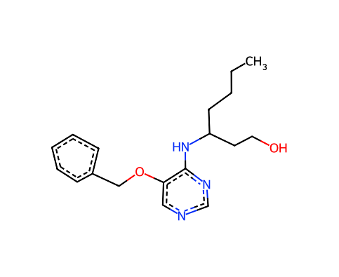 CCCCC(CCO)Nc1ncncc1OCc1ccccc1